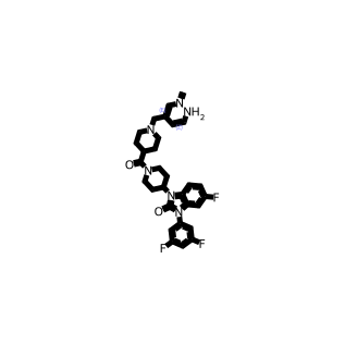 C=N/C=C(\C=C/N)CN1CCC(C(=O)N2CCC(n3c(=O)n(-c4cc(F)cc(F)c4)c4cc(F)ccc43)CC2)CC1